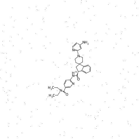 CCN(CC)C(=O)c1ccc(NC(=O)[C@H]2CC3(CCN(c4cc(N)ccn4)CC3)c3ccccc32)nc1